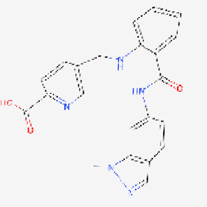 Cn1ncc2ccc(NC(=O)c3ccccc3NCc3ccc(C(=O)O)nc3)cc21